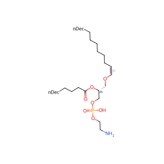 CCCCCCCCCCCCCCCC/C=C\OC[C@H](COP(=O)(O)OCCN)OC(=O)CCCCCCCCCCCCC